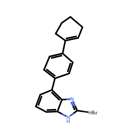 CCCCc1nc2c(-c3ccc(C4=CCCCC4)cc3)cccc2[nH]1